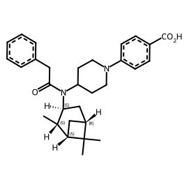 C[C@@H]1[C@@H](N(C(=O)Cc2ccccc2)C2CCN(c3ccc(C(=O)O)cc3)CC2)C[C@H]2C[C@@H]1C2(C)C